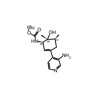 C[C@H]1CC(c2ccncc2N)=C[C@@H](NC(=O)OC(C)(C)C)[C@]1(C)O